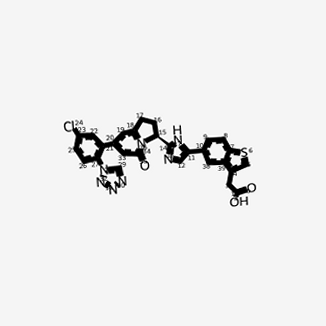 O=C(O)Cc1csc2ccc(-c3cnc([C@@H]4CCc5cc(-c6cc(Cl)ccc6-n6cnnn6)cc(=O)n54)[nH]3)cc12